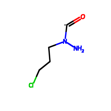 NN([C]=O)CCCCl